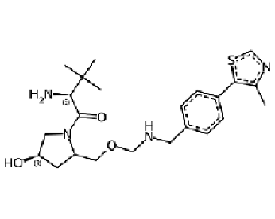 Cc1ncsc1-c1ccc(CNCOCC2C[C@@H](O)CN2C(=O)[C@@H](N)C(C)(C)C)cc1